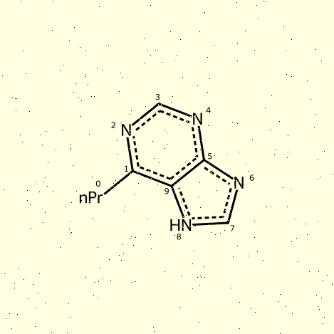 CCCc1ncnc2nc[nH]c12